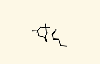 C=C1C[C@@H](C)CC(C)(C)[C@@H]1C(=O)C=CCC